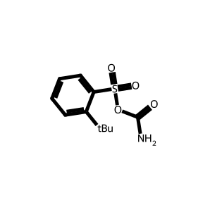 CC(C)(C)c1ccccc1S(=O)(=O)OC(N)=O